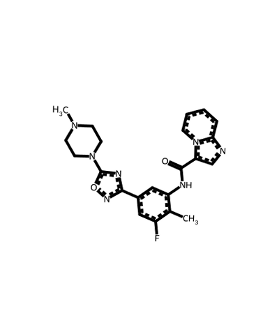 Cc1c(F)cc(-c2noc(N3CCN(C)CC3)n2)cc1NC(=O)c1cnc2ccccn12